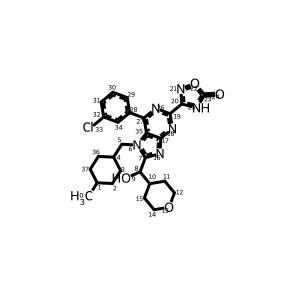 CC1CCC(Cn2c(C(O)C3CCOCC3)nc3nc(-c4noc(=O)[nH]4)nc(-c4cccc(Cl)c4)c32)CC1